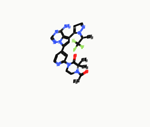 CC(=O)N1CCN(c2cc(-c3cc(-c4ccnn4C(C)C(F)(F)F)c4c(N)ncnn34)ccn2)C(=O)C1(C)C